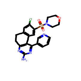 Nc1nc2c(c(-c3cccnc3)n1)-c1cc(S(=O)(=O)N3CCOCC3)c(Cl)cc1CC2